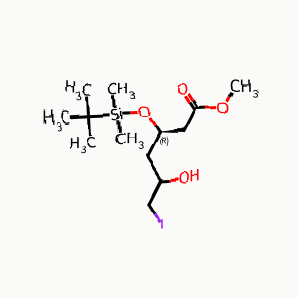 COC(=O)C[C@@H](CC(O)CI)O[Si](C)(C)C(C)(C)C